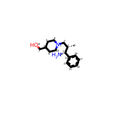 C[C@@H](CN1CCC(CO)CC1)[C@@H](N)c1ccccc1